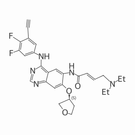 C#Cc1cc(Nc2ncnc3cc(O[C@H]4CCOC4)c(NC(=O)C=CCN(CC)CC)cc23)cc(F)c1F